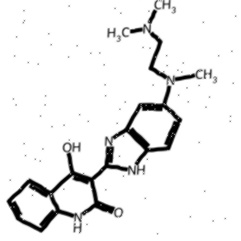 CN(C)CCN(C)c1ccc2[nH]c(-c3c(O)c4ccccc4[nH]c3=O)nc2c1